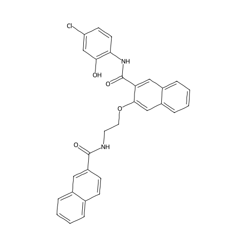 O=C(NCCOc1cc2ccccc2cc1C(=O)Nc1ccc(Cl)cc1O)c1ccc2ccccc2c1